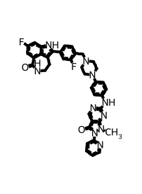 Cn1c2nc(Nc3ccc(N4CCN(Cc5ccc(-c6[nH]c7cc(F)cc8c7c6CCNC8=O)cc5F)CC4)cc3)ncc2c(=O)n1-c1ccccn1